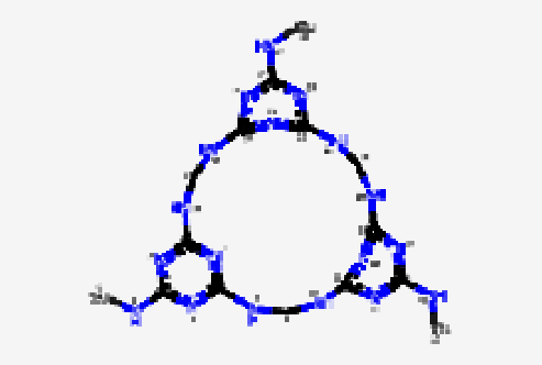 CC(C)(C)Nc1nc2nc(n1)NCNc1nc(nc(NC(C)(C)C)n1)NCNc1nc(nc(NC(C)(C)C)n1)NCN2